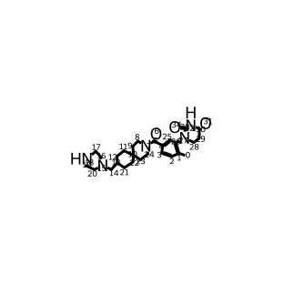 Cc1ccc(C(=O)N2CCC3(CCC(CN4CCNCC4)CC3)CC2)cc1N1CCC(=O)NC1=O